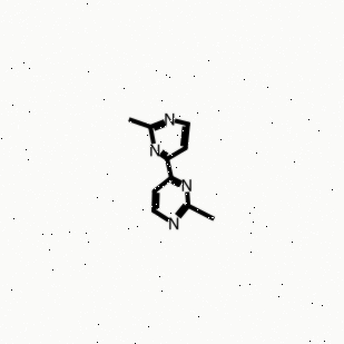 Cc1nccc(-c2ccnc(C)n2)n1